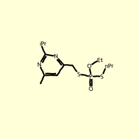 CCCSP(=O)(OCC)SCc1cc(C)nc(C(C)C)n1